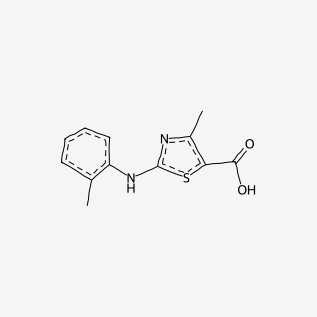 Cc1ccccc1Nc1nc(C)c(C(=O)O)s1